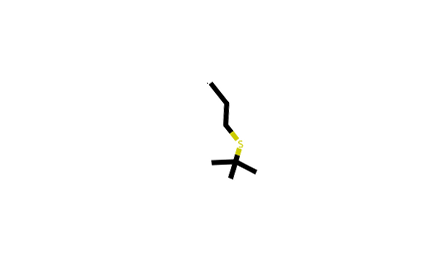 [CH2]CCSC(C)(C)C